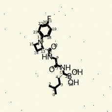 CC(C)CC[C@H](NC(=O)CNC(=O)[C@@H]1CCN1c1ccc(F)cc1)B(O)O